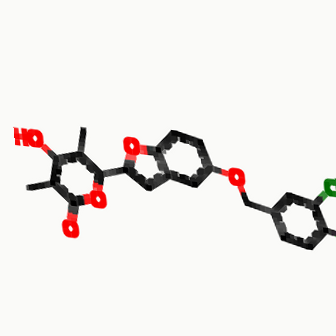 Cc1c(-c2cc3cc(OCc4ccc(Cl)c(Cl)c4)ccc3o2)oc(=O)c(C)c1O